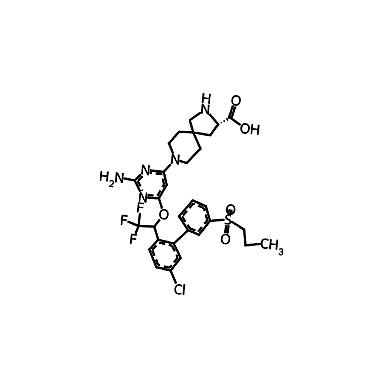 CCCS(=O)(=O)c1cccc(-c2cc(Cl)ccc2C(Oc2cc(N3CCC4(CC3)CN[C@H](C(=O)O)C4)nc(N)n2)C(F)(F)F)c1